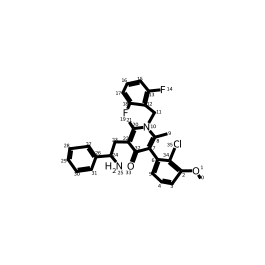 COc1cccc(-c2c(C)n(Cc3c(F)cccc3F)c(C)c(CC(N)c3ccccc3)c2=O)c1Cl